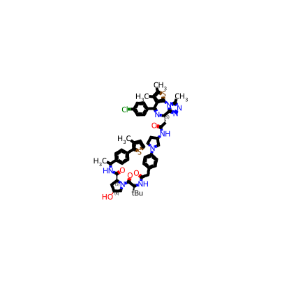 Cc1ccsc1-c1ccc(C(C)NC(=O)[C@@H]2C[C@@H](O)CN2C(=O)[C@@H](NC(=O)Cc2ccc(N3CCC(NC(=O)C[C@@H]4N=C(c5ccc(Cl)cc5)c5c(sc(C)c5C)-n5c(C)nnc54)C3)cc2)C(C)(C)C)cc1